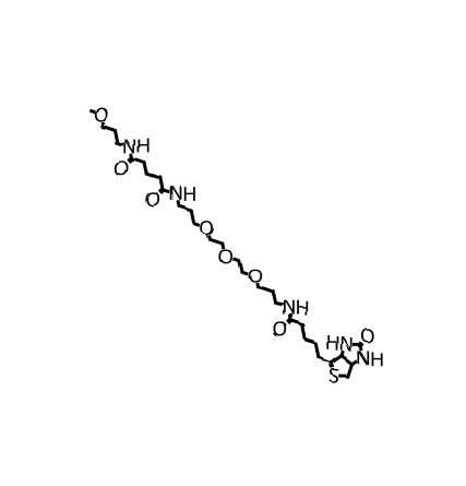 COCCCNC(=O)CCCC(=O)NCCCOCCOCCOCCCNC(=O)CCCC[C@@H]1SCC2NC(=O)NC21